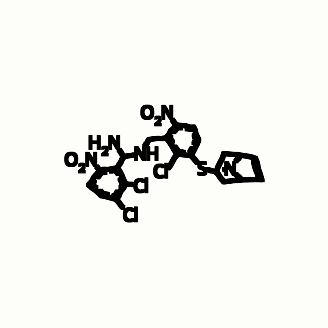 CN1C2C=CC1CC(Sc1ccc([N+](=O)[O-])c(CNC(N)c3c([N+](=O)[O-])ccc(Cl)c3Cl)c1Cl)C2